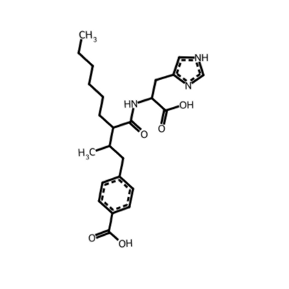 CCCCCCC(C(=O)NC(Cc1c[nH]cn1)C(=O)O)C(C)Cc1ccc(C(=O)O)cc1